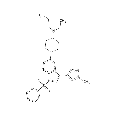 CCCN(CC)C1CCC(c2cnc3c(c2)c(-c2cnn(C)c2)cn3S(=O)(=O)c2ccccc2)CC1